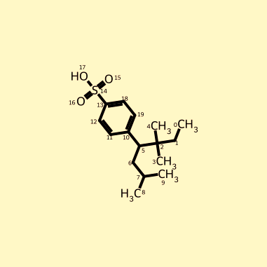 CCC(C)(C)C(CC(C)C)c1ccc(S(=O)(=O)O)cc1